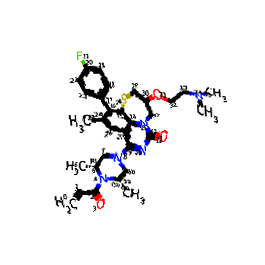 C=CC(=O)N1[C@H](C)CN(c2nc(=O)n3c4c(c(-c5ccc(F)cc5)c(C)cc24)SCC(OCCN(C)C)C3)C[C@@H]1C